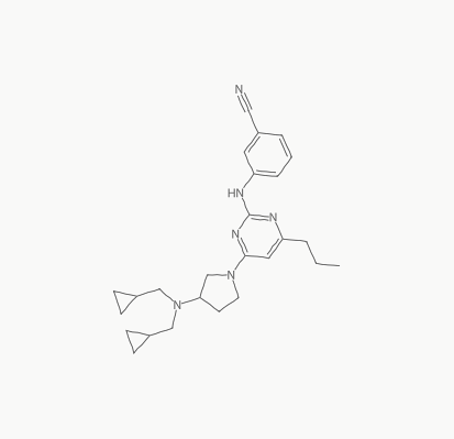 CCCc1cc(N2CCC(N(CC3CC3)CC3CC3)C2)nc(Nc2cccc(C#N)c2)n1